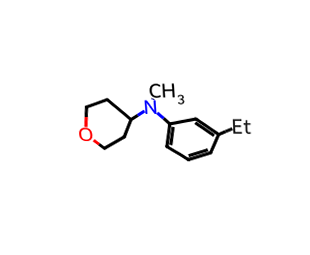 CCc1cccc(N(C)C2CCOCC2)c1